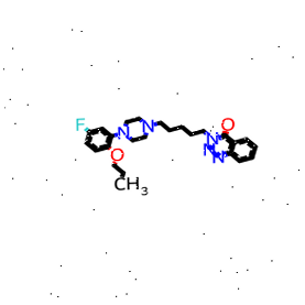 CCCOc1ccc(F)cc1N1CCN(CCCCCn2nnc3ccccc3c2=O)CC1